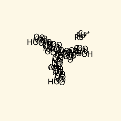 O=P([O][Mo](=[O])(=[O])[O][Mo](=[O])(=[O])[O][Mo](=[O])(=[O])[O][Mo](=[O])(=[O])[OH])([O][Mo](=[O])(=[O])[O][Mo](=[O])(=[O])[O][Mo](=[O])(=[O])[O][Mo](=[O])(=[O])[OH])[O][Mo](=[O])(=[O])[O][Mo](=[O])(=[O])[O][Mo](=[O])(=[O])[O][Mo](=[O])(=[O])[OH].[Cs+].[Rb+].[Rb+]